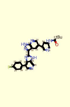 CC(C)(C)C(=O)Nc1cncc(-c2cnc3[nH]nc(-c4nc5c(-c6ccc(F)cc6)cncc5[nH]4)c3c2)c1